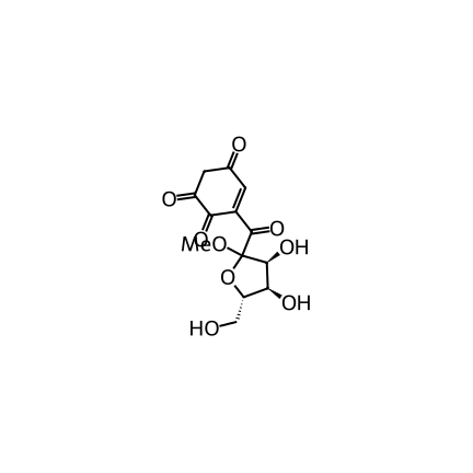 COC1(C(=O)C2=CC(=O)CC(=O)C2=O)O[C@@H](CO)[C@H](O)[C@@H]1O